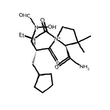 CCNC(=O)[N+]1(C(=O)[C@H](CC2CCCC2)CN(O)C=O)CCC(C)(C)[C@H]1C(N)=O